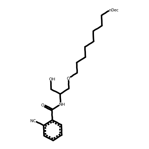 CCCCCCCCCCCCCCCCCCOCC(CO)NC(=O)c1ccccc1C#N